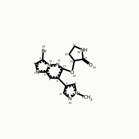 Cn1cc(-c2cc3ncc(Br)n3nc2OC2CCNC2=O)cn1